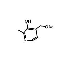 CC(=O)OCc1[c]cnc(C)c1O